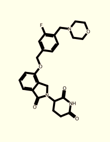 O=C1CCC(N2Cc3c(OCc4ccc(CN5CCOCC5)c(F)c4)cccc3C2=O)C(=O)N1